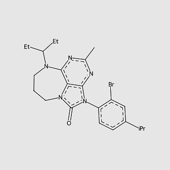 CCC(CC)N1CCCn2c(=O)n(-c3ccc(C(C)C)cc3Br)c3nc(C)nc1c32